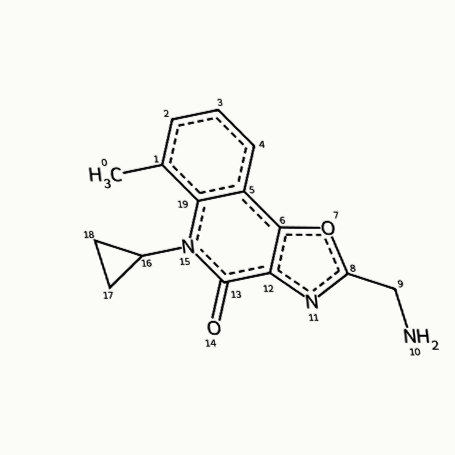 Cc1cccc2c3oc(CN)nc3c(=O)n(C3CC3)c12